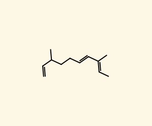 C=CC(C)CCC=CC(C)=CC